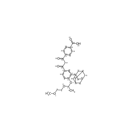 COCCOC(C)Oc1ccc(C(=O)CC(=O)c2ccc(C(=O)O)cc2)cc1C12CC3CC(CC(C3)C1)C2